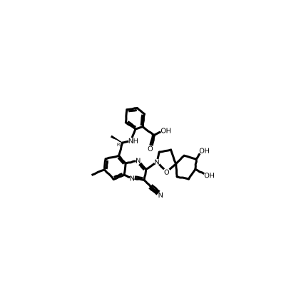 Cc1cc([C@@H](C)Nc2ccccc2C(=O)O)c2nc(N3CCC4(CCC(O)C(O)C4)O3)c(C#N)nc2c1